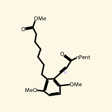 CCCCCC(=O)/C=C/c1c(OC)ccc(OC)c1CCCCCCC(=O)OC